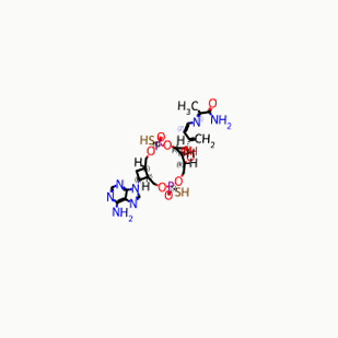 C=C(/C=C\N=C(/C)C(N)=O)[C@@H]1O[C@@H]2CO[P@@](=O)(S)OC[C@@H]3[C@@H](CO[P@@](=O)(S)O[C@@H]1[C@@H]2O)C[C@H]3n1cnc2c(N)ncnc21